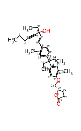 CCCC#CC(O)(C=Cc1ccc(C(CC)(CC)c2ccc(OC[C@@H]3CCC(=O)O3)c(C)c2)cc1C)CC